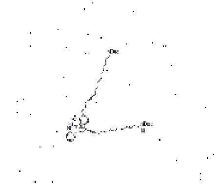 CCCCCCCCCCCCCCCCCCCCCC#CCCCc1ccccc1/N=C\C(CCCC)=N\c1ccccc1CCCC#CCCCCCCCCCCCCCCCCCCCCC.[Ni]